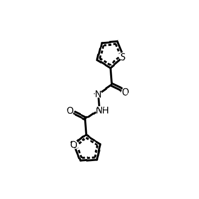 O=C(N[N]C(=O)c1cccs1)c1ccco1